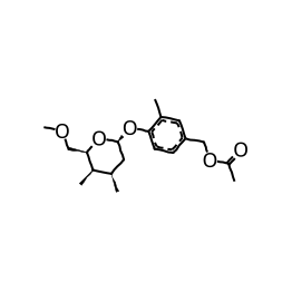 COC[C@H]1O[C@@H](Oc2ccc(COC(C)=O)cc2C)C[C@@H](C)[C@H]1C